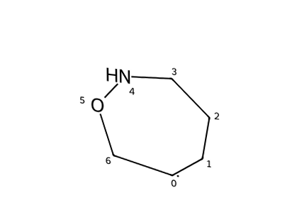 [CH]1CCCNOC1